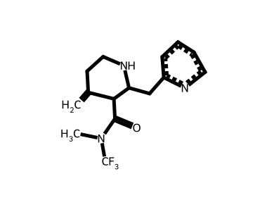 C=C1CCNC(Cc2ccccn2)C1C(=O)N(C)C(F)(F)F